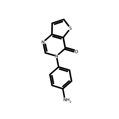 Nc1ccc(-n2cnc3ccsc3c2=O)cc1